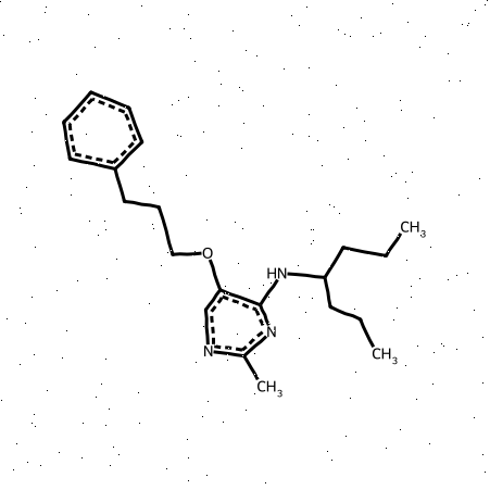 CCCC(CCC)Nc1nc(C)ncc1OCCCc1ccccc1